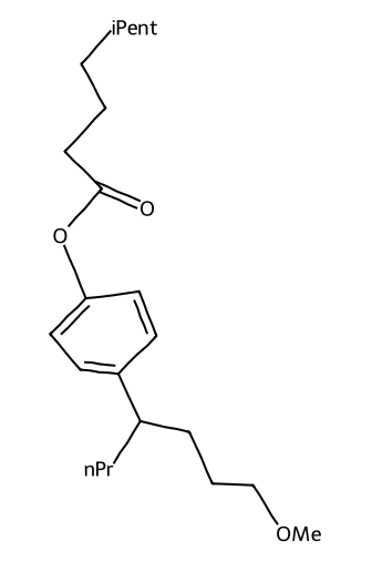 CCCC(C)CCCC(=O)Oc1ccc(C(CCC)CCCOC)cc1